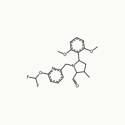 COc1cccc(OC)c1C1CC(C)C(C=O)N1Cc1cccc(OC(F)F)n1